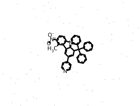 Cc1c([N+](=O)[O-])ccc2c1C1=CC(c3ccncc3)=CC(C(c3ccccc3)(c3ccccc3)c3ccccc3)C1=N2